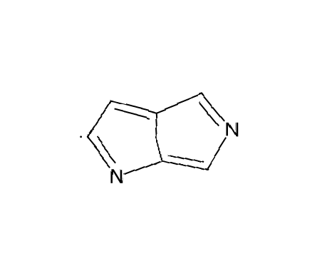 [C]1=NC2=CN=CC2=C1